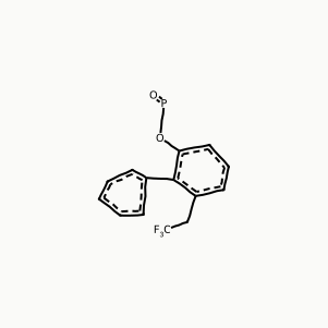 O=POc1cccc(CC(F)(F)F)c1-c1ccccc1